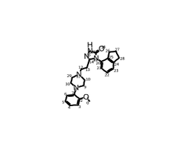 COc1ccccc1N1CCN(CCc2n[nH]c(=O)n2-c2cccc3c2CCC3)CC1